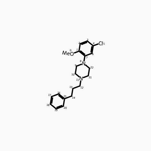 COc1ccc(Cl)cc1N1CCN(CCCc2ccccc2)CC1